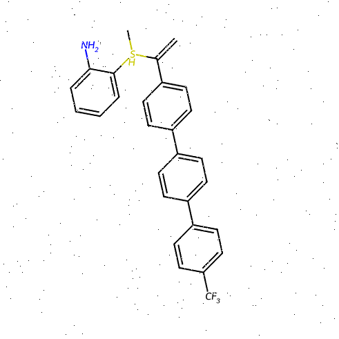 C=C(c1ccc(-c2ccc(-c3ccc(C(F)(F)F)cc3)cc2)cc1)[SH](C)c1ccccc1N